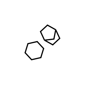 C1CC2CCC1C2.C1CCCCC1